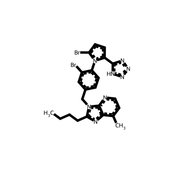 CCCCc1nc2c(C)ccnc2n1Cc1ccc(-n2c(Br)ccc2-c2nnn[nH]2)c(Br)c1